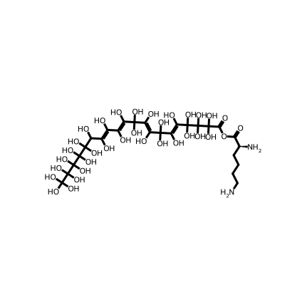 NCCCC[C@H](N)C(=O)OC(=O)C(O)(O)C(O)(O)C(O)(O)C(O)=C(O)C(O)(O)C(O)=C(O)C(O)(O)C(O)=C(O)C(O)=C(O)C(O)C(O)(O)C(O)(O)C(O)(O)C(O)(O)C(O)(O)O